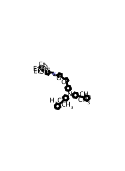 CCO[Si](OCC)(OCC)c1ccc(/C=C/c2ccc(-c3ccc(-c4ccc(N(c5ccc(C(C)(C)c6ccccc6)cc5)c5ccc(C(C)(C)c6ccccc6)cc5)cc4)o3)o2)s1